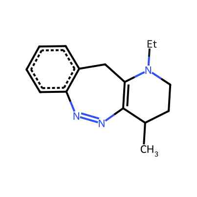 CCN1CCC(C)C2=C1Cc1ccccc1N=N2